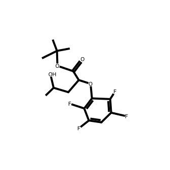 CC(O)CC(Oc1c(F)c(F)cc(F)c1F)C(=O)OC(C)(C)C